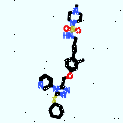 Cc1cc(OCc2nnc(SC3C=CCCC3)n2-c2cccnc2)ccc1C#CCNS(=O)(=O)N1CCN(C)CC1